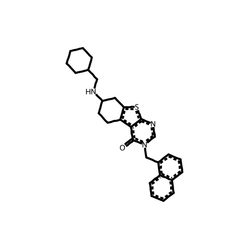 O=c1c2c3c(sc2ncn1Cc1cccc2ccccc12)CC(NCC1CCCCC1)CC3